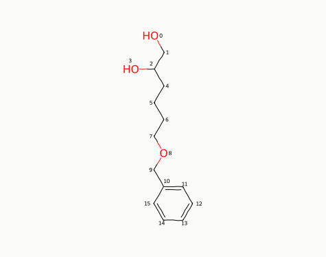 OCC(O)CCCCOCc1ccccc1